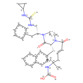 CN(C(=O)[C@@H](Cc1ccc2ccccc2c1)N(C)C(=O)/C=C/CC(C)(C)NC(=O)O)[C@@H](CNC(=S)NC1CC1)Cc1ccccc1